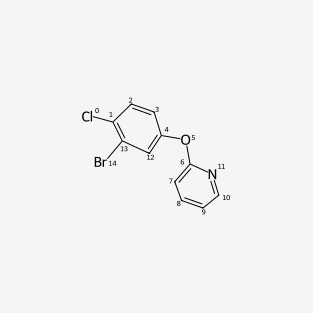 Clc1ccc(Oc2ccccn2)cc1Br